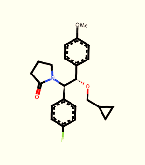 COc1ccc([C@H](OCC2CC2)[C@@H](c2ccc(F)cc2)N2CCCC2=O)cc1